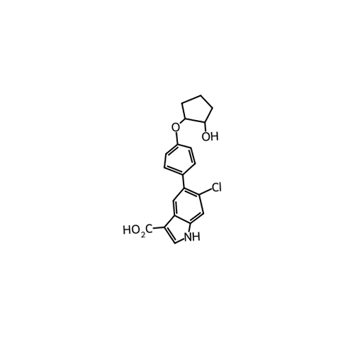 O=C(O)c1c[nH]c2cc(Cl)c(-c3ccc(OC4CCCC4O)cc3)cc12